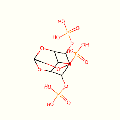 O=P(O)(O)OC1C2OC3OC1C(OP(=O)(O)O)C(O3)C2OP(=O)(O)O